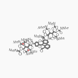 CNC(=O)OCC(OC(=O)NC)C(OC(=O)NC)C(OC(=O)NC)C(OC(=O)NC)N(C)c1ccc2c(c1)Oc1cc(N(C)C(OC(=O)NC)C(OC(=O)NC)C(OC(=O)NC)C(COC(=O)NC)OC(=O)NC)ccc1C21OC(=O)c2ccccc21